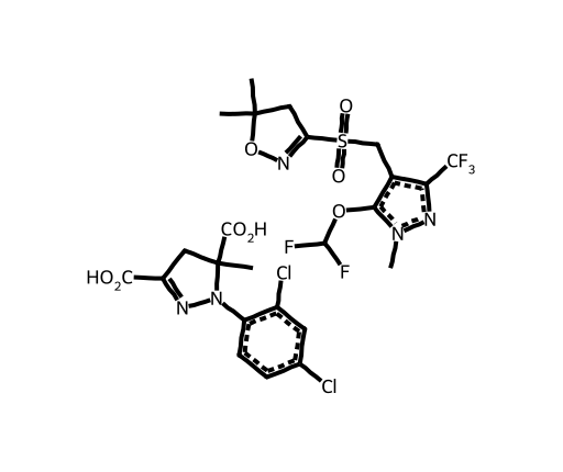 CC1(C(=O)O)CC(C(=O)O)=NN1c1ccc(Cl)cc1Cl.Cn1nc(C(F)(F)F)c(CS(=O)(=O)C2=NOC(C)(C)C2)c1OC(F)F